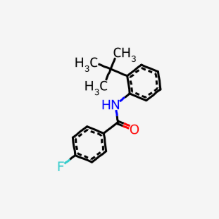 CC(C)(C)c1ccccc1NC(=O)c1ccc(F)cc1